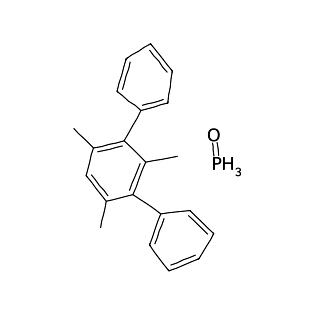 Cc1cc(C)c(-c2ccccc2)c(C)c1-c1ccccc1.O=[PH3]